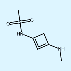 CNC1=C=C(NS(C)(=O)=O)C1